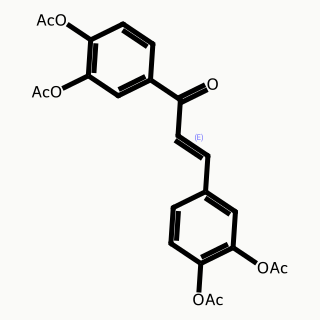 CC(=O)Oc1ccc(/C=C/C(=O)c2ccc(OC(C)=O)c(OC(C)=O)c2)cc1OC(C)=O